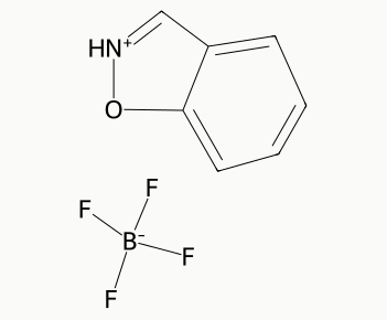 F[B-](F)(F)F.c1ccc2o[nH+]cc2c1